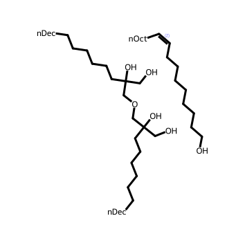 CCCCCCCC/C=C\CCCCCCCCO.CCCCCCCCCCCCCCCCC(O)(CO)COCC(O)(CO)CCCCCCCCCCCCCCCC